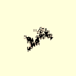 CC(C)(C)OC(=O)N1C[C@@H](NC(=O)c2ccc(Nc3nc(NC4(c5ccc(Cl)cc5)CC4)nc(OCC(F)(F)F)n3)cc2)C[C@@H]1C(=O)NC1(C(=O)NS(=O)(=O)C2CC2)CC1